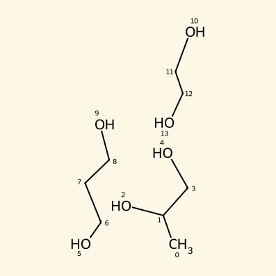 CC(O)CO.OCCCO.OCCO